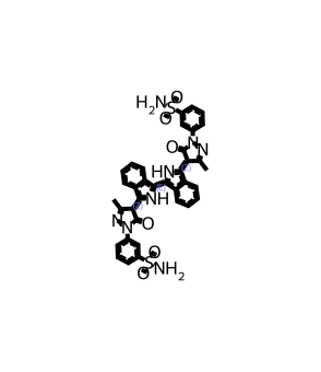 CC1=NN(c2cccc(S(N)(=O)=O)c2)C(=O)/C1=c1\[nH]/c(=c2/[nH]/c(=C3\C(=O)N(c4cccc(S(N)(=O)=O)c4)N=C3C)c3ccccc23)c2ccccc12